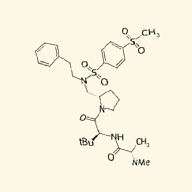 CN[C@@H](C)C(=O)N[C@H](C(=O)N1CCC[C@H]1CN(CCc1ccccc1)S(=O)(=O)c1ccc(S(C)(=O)=O)cc1)C(C)(C)C